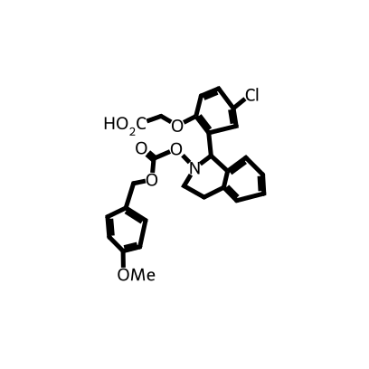 COc1ccc(COC(=O)ON2CCc3ccccc3C2c2cc(Cl)ccc2OCC(=O)O)cc1